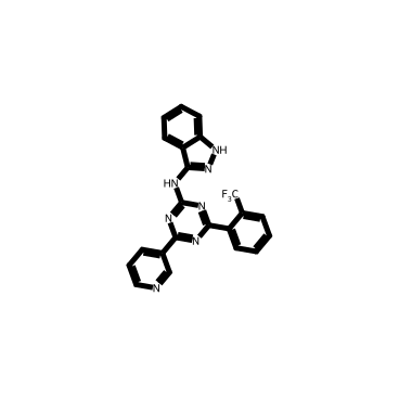 FC(F)(F)c1ccccc1-c1nc(Nc2n[nH]c3ccccc23)nc(-c2cccnc2)n1